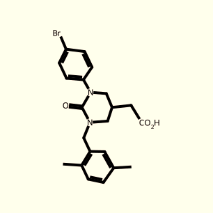 Cc1ccc(C)c(CN2CC(CC(=O)O)CN(c3ccc(Br)cc3)C2=O)c1